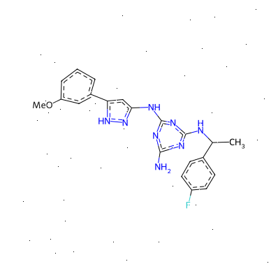 COc1cccc(-c2cc(Nc3nc(N)nc(NC(C)c4ccc(F)cc4)n3)n[nH]2)c1